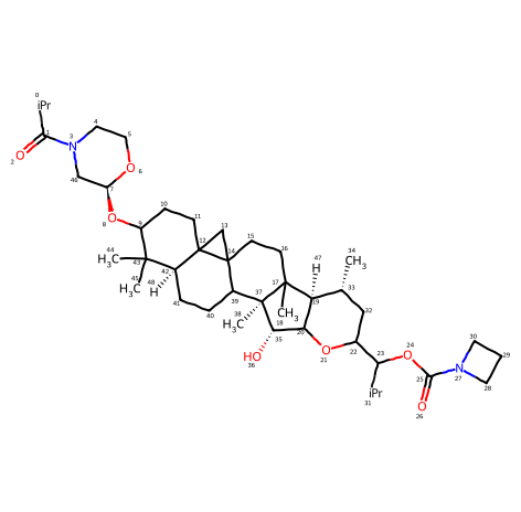 CC(C)C(=O)N1CCO[C@@H](OC2CCC34CC35CCC3(C)[C@@H]6C(OC(C(OC(=O)N7CCC7)C(C)C)C[C@H]6C)[C@H](O)[C@@]3(C)C5CC[C@H]4C2(C)C)C1